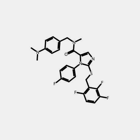 CN(Cc1ccc(N(C)C)cc1)C(=O)c1cnc(SCc2c(F)ccc(F)c2F)n1-c1ccc(F)cc1